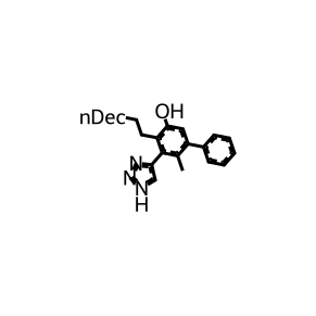 CCCCCCCCCCCCc1c(O)cc(-c2ccccc2)c(C)c1-c1c[nH]nn1